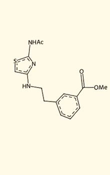 COC(=O)c1cccc(CCNc2csc(NC(C)=O)n2)c1